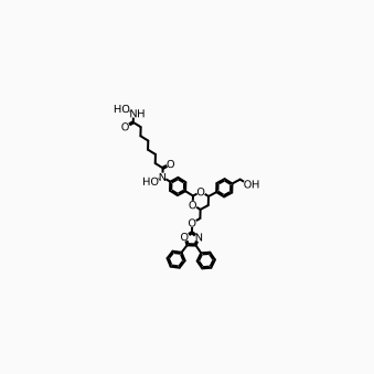 O=C(CCCCCCC(=O)N(O)c1ccc(C2OC(COc3nc(-c4ccccc4)c(-c4ccccc4)o3)CC(c3ccc(CO)cc3)O2)cc1)NO